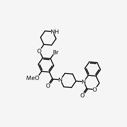 COc1cc(OC2CCNCC2)c(Br)cc1C(=O)N1CCC(N2C(=O)OCc3ccccc32)CC1